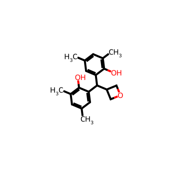 Cc1cc(C)c(O)c(C(c2cc(C)cc(C)c2O)C2COC2)c1